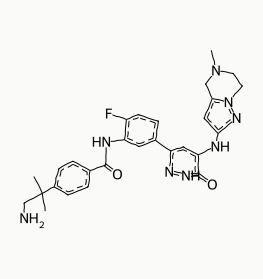 CN1CCn2nc(Nc3cc(-c4ccc(F)c(NC(=O)c5ccc(C(C)(C)CN)cc5)c4)n[nH]c3=O)cc2C1